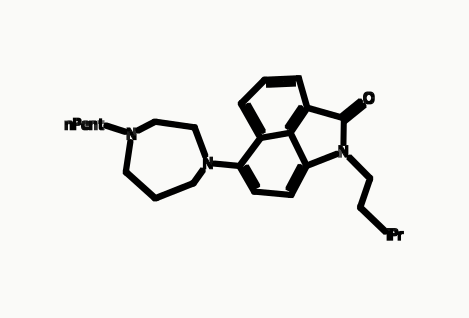 CCCCCN1CCCN(c2ccc3c4c(cccc24)C(=O)N3CCC(C)C)CC1